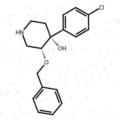 O[C@@]1(c2ccc(Cl)cc2)CCNC[C@H]1OCc1ccccc1